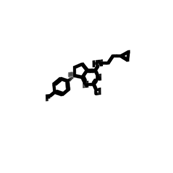 Fc1ccc([C@@H]2CCc3c(NCCC4CC4)nc(Cl)nc32)cc1